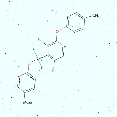 CCCCCCCCCc1ccc(OC(F)(F)c2c(F)c[c]c(Oc3ccc(C)cc3)c2F)cc1